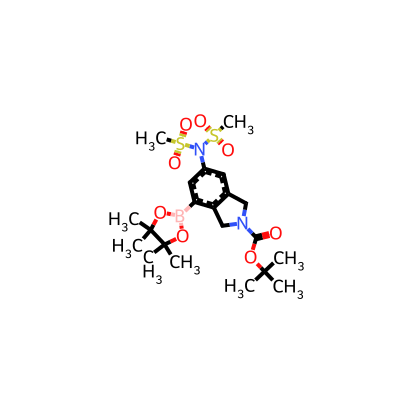 CC(C)(C)OC(=O)N1Cc2cc(N(S(C)(=O)=O)S(C)(=O)=O)cc(B3OC(C)(C)C(C)(C)O3)c2C1